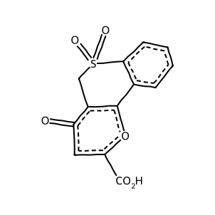 O=C(O)c1cc(=O)c2c(o1)-c1ccccc1S(=O)(=O)C2